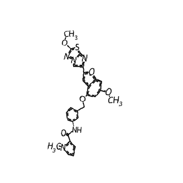 COc1cc(OCc2cccc(NC(=O)c3cccn3C)c2)c2cc(-c3cn4nc(OC)sc4n3)oc2c1